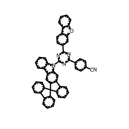 N#Cc1ccc(-c2nc(-c3ccc4c(c3)oc3ccccc34)nc(-n3c4ccccc4c4cc5c(cc43)-c3ccccc3C53c4ccccc4-c4ccccc43)n2)cc1